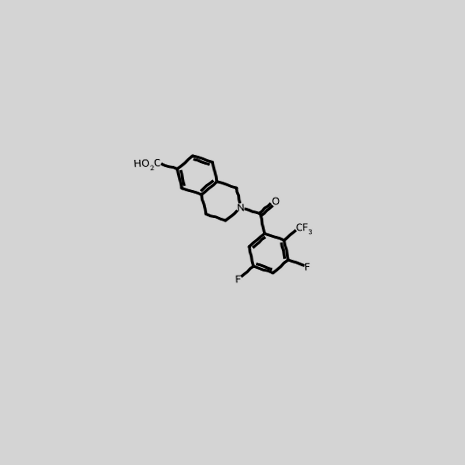 O=C(O)c1ccc2c(c1)CCN(C(=O)c1cc(F)cc(F)c1C(F)(F)F)C2